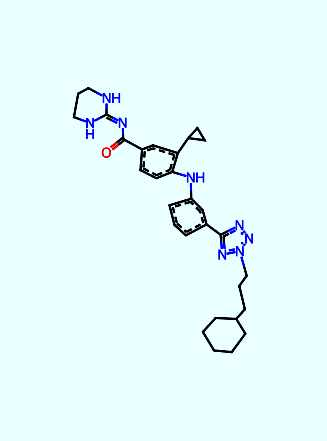 O=C(N=C1NCCCN1)c1ccc(Nc2cccc(-c3nnn(CCCC4CCCCC4)n3)c2)c(C2CC2)c1